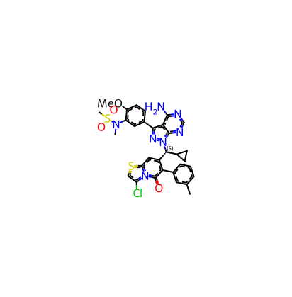 COc1ccc(-c2nn([C@H](c3cc4scc(Cl)n4c(=O)c3-c3cccc(C)c3)C3CC3)c3ncnc(N)c23)cc1N(C)S(C)(=O)=O